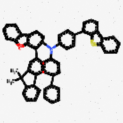 CC1(C)c2ccccc2-c2ccc(-c3c(N(c4ccc(-c5ccccc5)cc4)c4ccc(-c5cccc6c5sc5ccccc56)cc4)ccc4c3oc3ccccc34)cc21